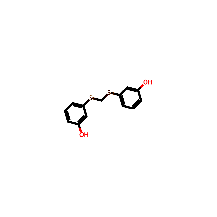 Oc1cccc(SCSc2cccc(O)c2)c1